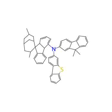 CC1CC2CC(C)C3(c4ccccc4C4C(N(c5ccc6c(c5)C(C)(C)c5ccccc5-6)c5ccc6c(c5)sc5ccccc56)=CC=CC43)C(C1)C2